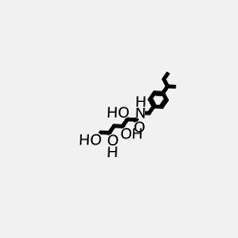 CCC(C)c1ccc(CNC(=O)C(O)C(O)CC(O)CO)cc1